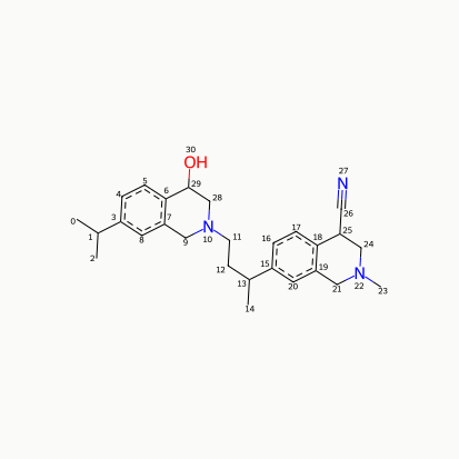 CC(C)c1ccc2c(c1)CN(CCC(C)c1ccc3c(c1)CN(C)CC3C#N)CC2O